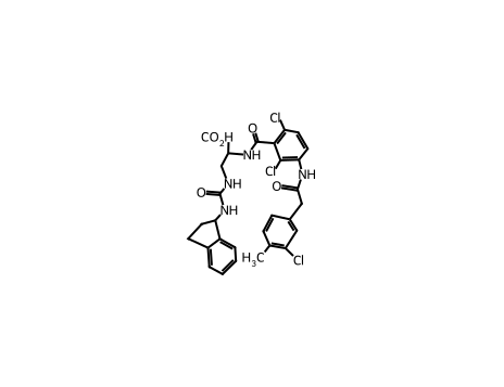 Cc1ccc(CC(=O)Nc2ccc(Cl)c(C(=O)NC(CNC(=O)NC3CCc4ccccc43)C(=O)O)c2Cl)cc1Cl